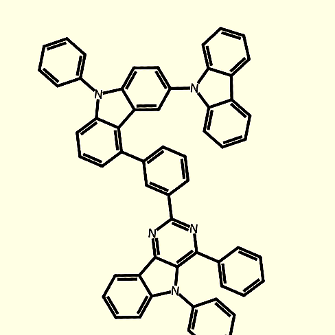 c1ccc(-c2nc(-c3cccc(-c4cccc5c4c4cc(-n6c7ccccc7c7ccccc76)ccc4n5-c4ccccc4)c3)nc3c4ccccc4n(-c4ccccc4)c23)cc1